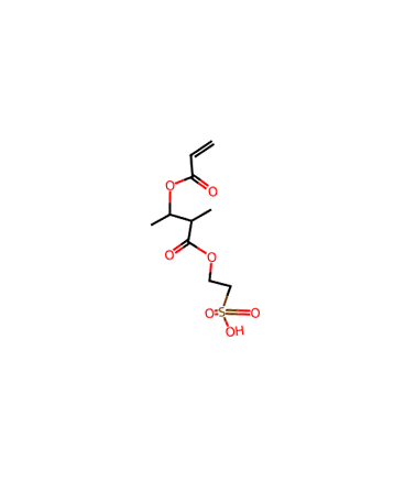 C=CC(=O)OC(C)C(C)C(=O)OCCS(=O)(=O)O